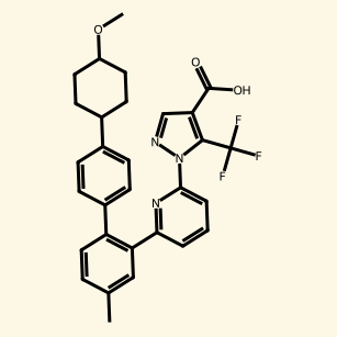 COC1CCC(c2ccc(-c3ccc(C)cc3-c3cccc(-n4ncc(C(=O)O)c4C(F)(F)F)n3)cc2)CC1